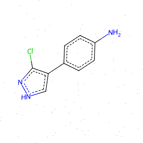 Nc1ccc(-c2c[nH]nc2Cl)cc1